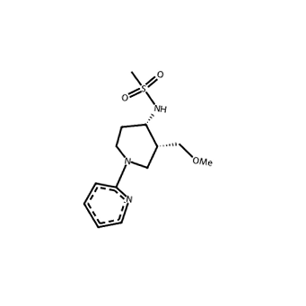 COC[C@@H]1CN(c2ccccn2)CC[C@@H]1NS(C)(=O)=O